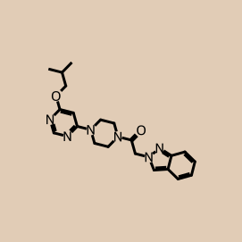 CC(C)COc1cc(N2CCN(C(=O)Cn3cc4ccccc4n3)CC2)ncn1